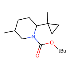 CC1CCC(C2(C)CC2)N(C(=O)OC(C)(C)C)C1